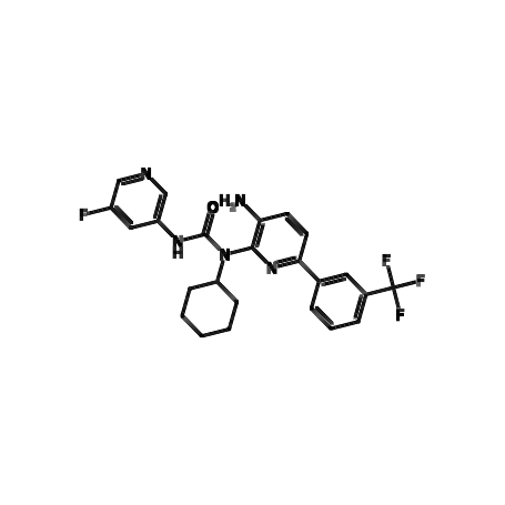 Nc1ccc(-c2cccc(C(F)(F)F)c2)nc1N(C(=O)Nc1cncc(F)c1)C1CCCCC1